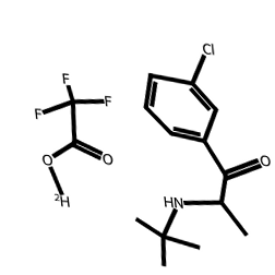 CC(NC(C)(C)C)C(=O)c1cccc(Cl)c1.[2H]OC(=O)C(F)(F)F